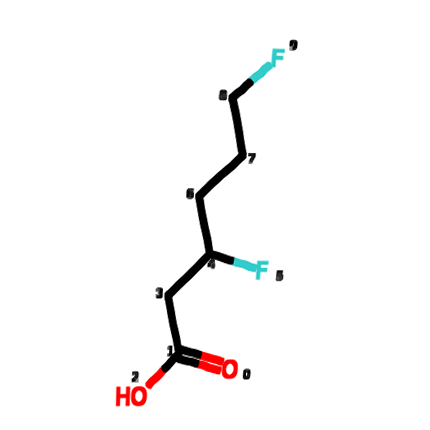 O=C(O)CC(F)CCCF